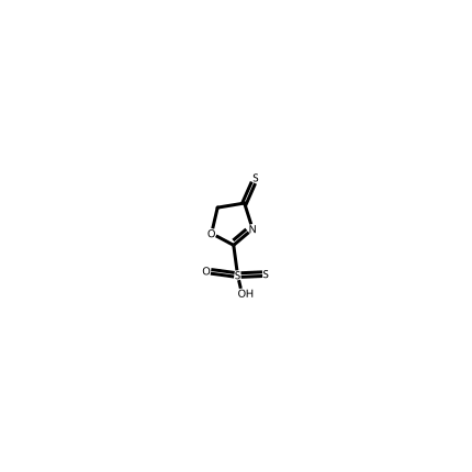 O=S(O)(=S)C1=NC(=S)CO1